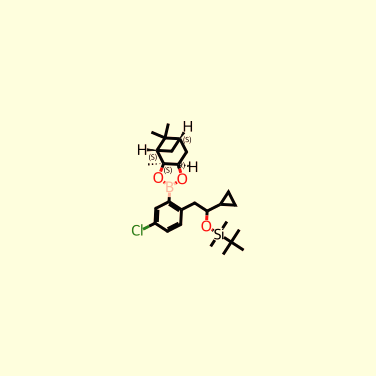 CC1(C)[C@@H]2C[C@H]3OB(c4cc(Cl)ccc4CC(O[Si](C)(C)C(C)(C)C)C4CC4)O[C@@]3(C)[C@H]1C2